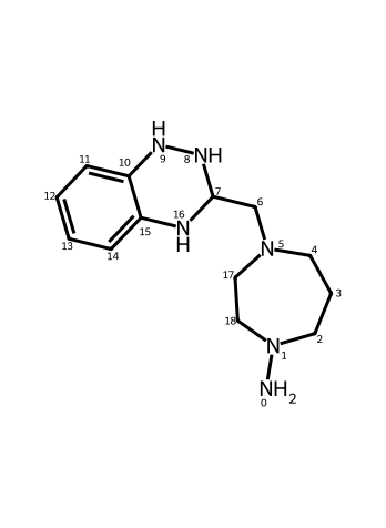 NN1CCCN(CC2NNc3ccccc3N2)CC1